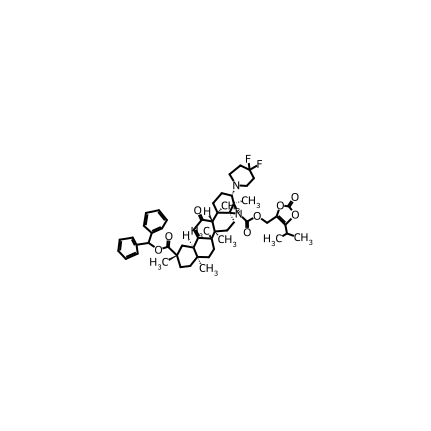 CC(C)c1oc(=O)oc1COC(=O)N1[C@@]23CC[C@]4(C)[C@H](C(=O)C=C5[C@@H]6C[C@@](C)(C(=O)OC(c7ccccc7)c7ccccc7)CC[C@]6(C)CC[C@]54C)[C@@]2(C)CC[C@H](N2CCC(F)(F)CC2)[C@@]13C